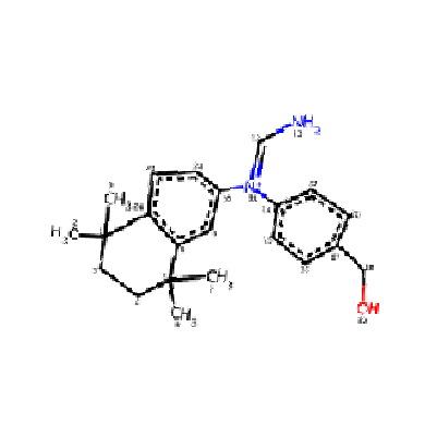 CC1(C)CCC(C)(C)c2cc([N+](=CN)c3ccc(CO)cc3)ccc21